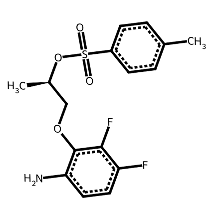 Cc1ccc(S(=O)(=O)O[C@H](C)COc2c(N)ccc(F)c2F)cc1